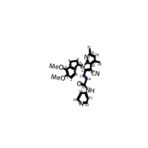 COc1ccc2c(c1OC)CCC2n1c(/C=C/C(=O)Nc2ccncc2)c(C#N)c2c(C)cc(C)nc21